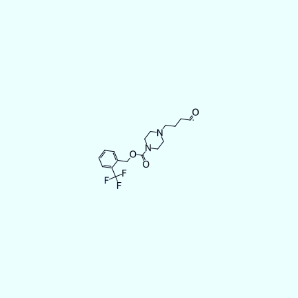 O=[C]CCCN1CCN(C(=O)OCc2ccccc2C(F)(F)F)CC1